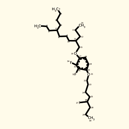 CCCCC(CCC)CCCC(CCC)COc1ccc(OCCCCC(I)CCC)c(F)c1F